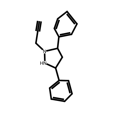 C#CCN1NC(c2ccccc2)CC1c1ccccc1